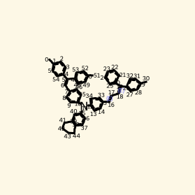 Cc1ccc(C(=Cc2ccc(N(c3ccc(/C=C/C=C(\c4ccccc4)c4ccc(C)cc4)cc3)c3ccc4c(c3)CCCC4)cc2)c2ccc(C)cc2)cc1